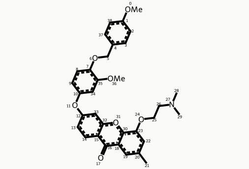 COc1ccc(COc2ccc(Oc3ccc4c(=O)c5cc(C)cc(OCCN(C)C)c5oc4c3)cc2OC)cc1